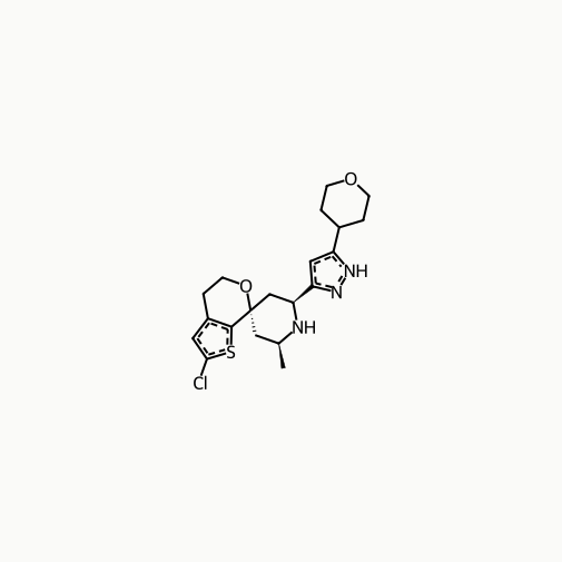 C[C@H]1C[C@@]2(C[C@@H](c3cc(C4CCOCC4)[nH]n3)N1)OCCc1cc(Cl)sc12